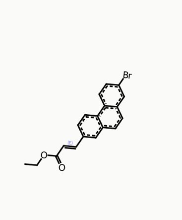 CCOC(=O)/C=C/c1ccc2c(ccc3cc(Br)ccc32)c1